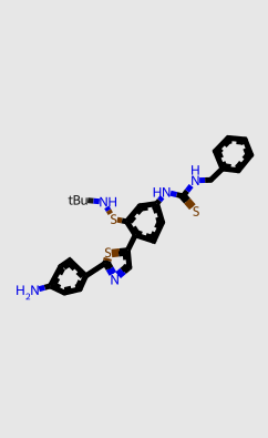 CC(C)(C)NSc1cc(NC(=S)NCc2ccccc2)ccc1-c1cnc(-c2ccc(N)cc2)s1